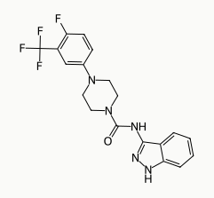 O=C(Nc1n[nH]c2ccccc12)N1CCN(c2ccc(F)c(C(F)(F)F)c2)CC1